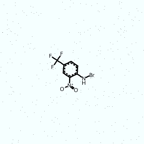 O=[N+]([O-])c1cc(C(F)(F)F)ccc1NBr